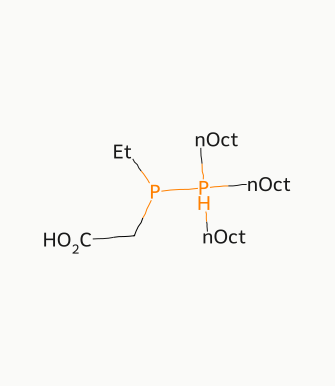 CCCCCCCC[PH](CCCCCCCC)(CCCCCCCC)P(CC)CC(=O)O